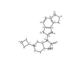 C=C1NC2CCN(C3COC3)CC2N1c1nc2c3c(ccc2s1)OCC3